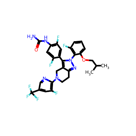 CC(C)COc1cccc(F)c1-n1nc2c(c1-c1cc(F)c(NC(N)=O)cc1F)CN(c1ncc(C(F)(F)F)cc1F)CC2